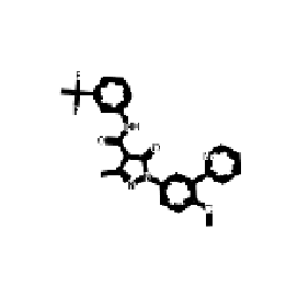 COc1ccc(N2N=C(C)C(C(=O)Nc3cccc(C(C)(F)F)c3)C2=O)cc1-c1ccccn1